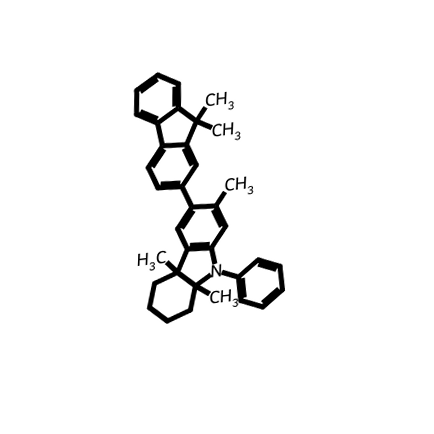 Cc1cc2c(cc1-c1ccc3c(c1)C(C)(C)c1ccccc1-3)C1(C)CCCCC1(C)N2c1ccccc1